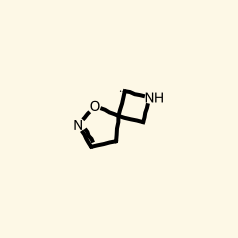 [CH]1NCC12CC=NO2